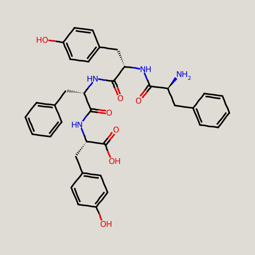 N[C@@H](Cc1ccccc1)C(=O)N[C@@H](Cc1ccc(O)cc1)C(=O)N[C@@H](Cc1ccccc1)C(=O)N[C@@H](Cc1ccc(O)cc1)C(=O)O